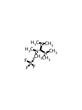 CN(C)C(N(C)C)=[N+](C)C.F[B-](F)(F)F